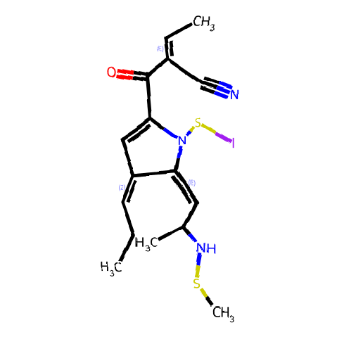 C/C=C(\C#N)C(=O)c1cc(=C/CC)/c(=C\C(C)NSC)n1SI